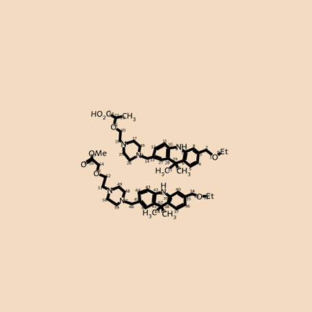 CCOCc1ccc2c(c1)Nc1ccc(CN3CCN(CCOC(C)C(=O)O)CC3)cc1C2(C)C.CCOCc1ccc2c(c1)Nc1ccc(CN3CCN(CCOCC(=O)OC)CC3)cc1C2(C)C